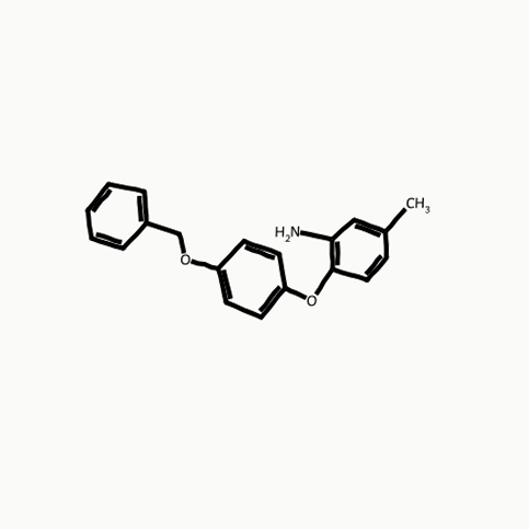 Cc1ccc(Oc2ccc(OCc3ccccc3)cc2)c(N)c1